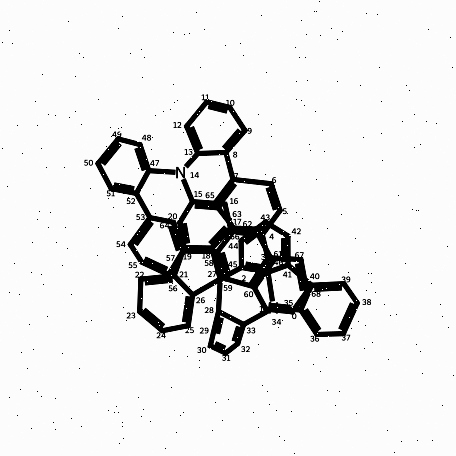 c1ccc(-c2ccc(-c3ccccc3N(c3ccc4c(c3)-c3ccccc3C43c4ccccc4-n4c5ccccc5c5cccc3c54)c3ccccc3-c3cccc(-c4ccccc4)c3)cc2)cc1